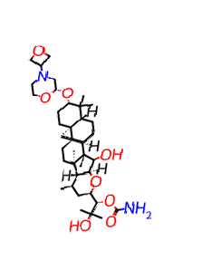 C[C@@H]1C[C@H]([C@H](OC(N)=O)C(C)(C)O)O[C@H]2[C@H]1[C@@]1(C)CC[C@@]34C[C@@]35CC[C@H](O[C@H]3CN(C6COC6)CCO3)C(C)(C)[C@@H]5CC[C@H]4[C@]1(C)[C@H]2O